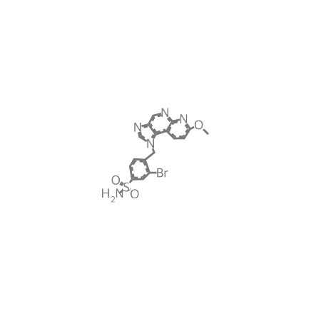 COc1ccc2c(ncc3ncn(Cc4ccc(S(N)(=O)=O)cc4Br)c32)n1